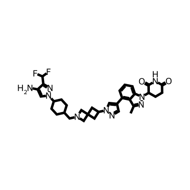 Cc1nn(C2CCC(=O)NC2=O)c2cccc(-c3cnn(C4CC5(C4)CN(CC4CCC(n6cc(N)c(C(F)F)n6)CC4)C5)c3)c12